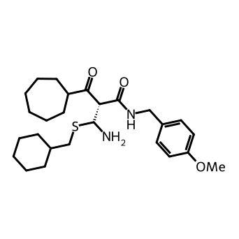 COc1ccc(CNC(=O)[C@@H](C(=O)C2CCCCCC2)C(N)SCC2CCCCC2)cc1